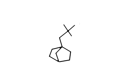 BC(B)(CC12CCC(CC1)C2)C(C)(C)C